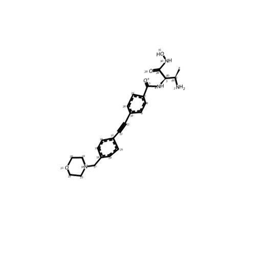 C[C@@H](N)[C@@H](NC(=O)c1ccc(C#Cc2ccc(CN3CCOCC3)cc2)cc1)C(=O)NO